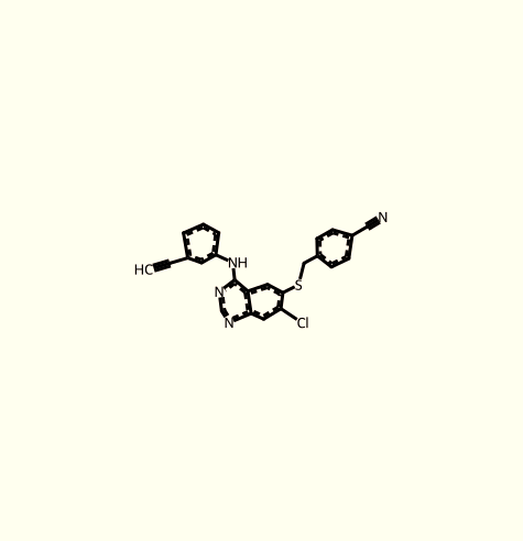 C#Cc1cccc(Nc2ncnc3cc(Cl)c(SCc4ccc(C#N)cc4)cc23)c1